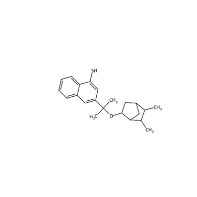 CC1C2CC(OC(C)(C)c3cc(S)c4ccccc4c3)C(C2)C1C